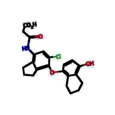 O=C(O)CC(=O)Nc1cc(Cl)c(Oc2ccc(O)c3c2CCCC3)c2c1CCC2